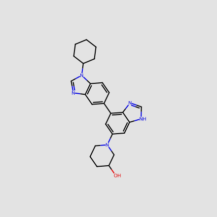 OC1CCCN(c2cc(-c3ccc4c(c3)ncn4C3CCCCC3)c3nc[nH]c3c2)C1